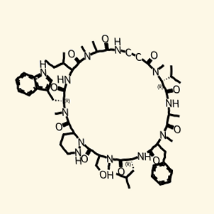 CCC(C)C1NC(=O)[C@@H](Cc2c[nH]c3ccccc23)N(C)C(=O)C2CCCNN2C(=O)C(CO)N(C)C(=O)[C@@H](CC(C)C)NC(=O)C(Cc2ccccc2)N(C)C(=O)C(C)NC(=O)[C@@H](C(C)C)N(C)C(=O)CCNC(=O)C(C)N(C)C1=O